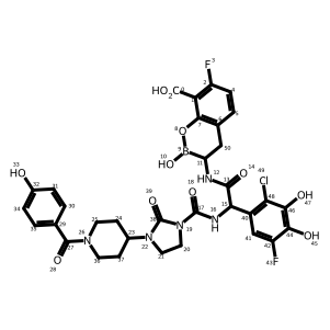 O=C(O)c1c(F)ccc2c1OB(O)C(NC(=O)C(NC(=O)N1CCN(C3CCN(C(=O)c4ccc(O)cc4)CC3)C1=O)c1cc(F)c(O)c(O)c1Cl)C2